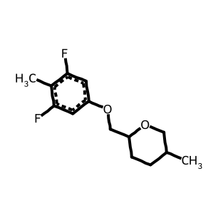 Cc1c(F)cc(OCC2CCC(C)CO2)cc1F